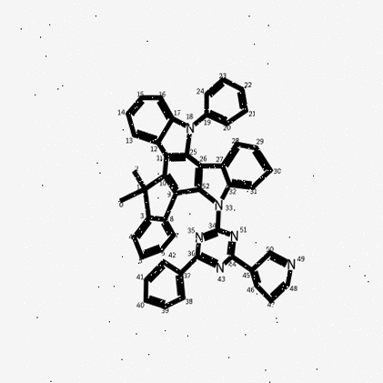 CC1(C)c2ccccc2-c2c1c1c3ccccc3n(-c3ccccc3)c1c1c3ccccc3n(-c3nc(-c4ccccc4)nc(-c4cccnc4)n3)c21